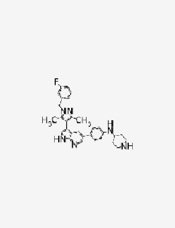 Cc1nn(Cc2cccc(F)c2)c(C)c1-c1c[nH]c2ncc(-c3ccc(NC4CCNCC4)cc3)cc12